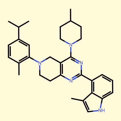 Cc1ccc(C(C)C)cc1N1CCc2nc(-c3cccc4[nH]cc(C)c34)nc(N3CCC(C)CC3)c2C1